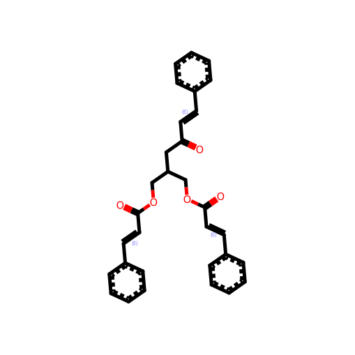 O=C(/C=C/c1ccccc1)CC(COC(=O)/C=C/c1ccccc1)COC(=O)/C=C/c1ccccc1